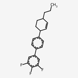 CCCC1C=CC(c2ccc(-c3cc(F)c(F)c(F)c3)cc2)CC1